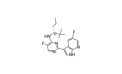 CCC[C@@H](Nc1nc(-c2c[nH]c3ncc(F)cc23)ncc1F)C(C)(C)C